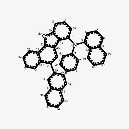 c1ccc(N(c2cccc3ccccc23)c2cccc3oc4c5ccccc5c(-c5ccc6ccccc6c5)cc4c23)cc1